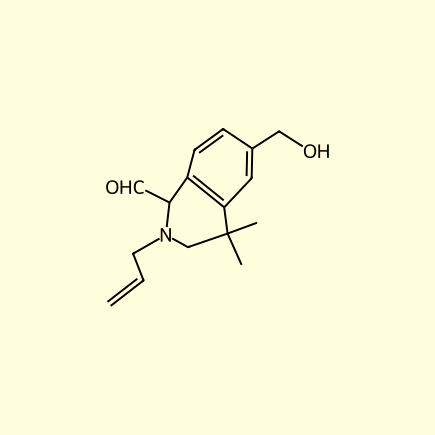 C=CCN1CC(C)(C)c2cc(CO)ccc2C1C=O